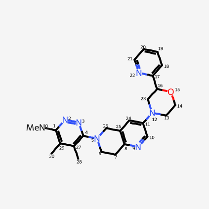 CNc1nnc(N2CCc3ncc(N4CCOC(c5ccccn5)C4)cc3C2)c(C)c1C